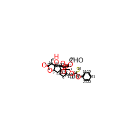 C[C@@H]1C(=O)OC2CC34C5C[C@@H](C(C)(C)C)C3(COC(=S)Oc3ccccc3)C(OC=O)OC4(C(=O)O5)[C@]21O